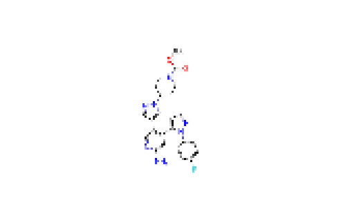 CC(C)(C)OC(=O)N1CCC(n2cc(-c3cnc(N)cc3-c3ccnn3-c3ccc(F)cc3)cn2)CC1